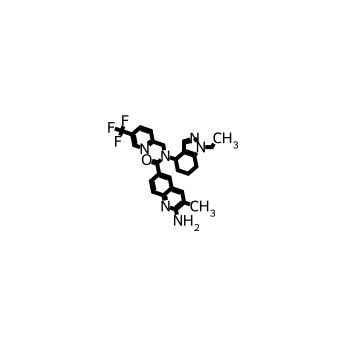 CCn1ncc2c1CCCC2N(Cc1ccc(C(F)(F)F)cn1)C(=O)c1ccc2nc(N)c(C)cc2c1